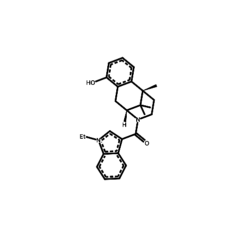 CCn1cc(C(=O)N2CC[C@@]3(C)c4cccc(O)c4C[C@@H]2C3(C)C)c2ccccc21